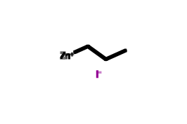 CC[CH2][Zn+].[I-]